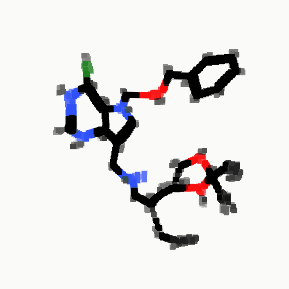 CSC[C@H](CNCc1cn(COCc2ccccc2)c2c(Cl)ncnc12)[C@@H]1COC(C)(C)O1